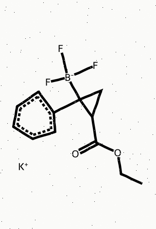 CCOC(=O)C1CC1(c1ccccc1)[B-](F)(F)F.[K+]